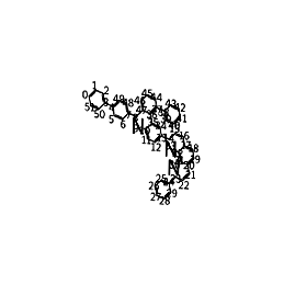 c1ccc(-c2ccc(-c3nc4ccc(-c5ccc6ccc7ccc(-c8ccccc8)nc7c6n5)cc4c4c(-c5ccccc5)cccc34)cc2)cc1